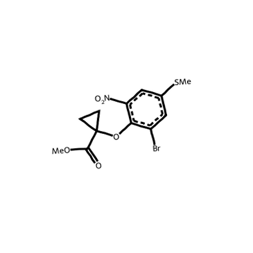 COC(=O)C1(Oc2c(Br)cc(SC)cc2[N+](=O)[O-])CC1